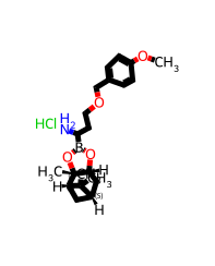 COc1ccc(COCCC(N)B2O[C@@H]3C[C@@H]4C[C@@H](C4(C)C)[C@]3(C)O2)cc1.Cl